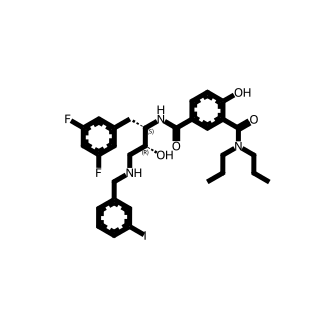 CCCN(CCC)C(=O)c1cc(C(=O)N[C@@H](Cc2cc(F)cc(F)c2)[C@H](O)CNCc2cccc(I)c2)ccc1O